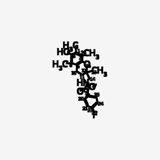 Cc1c(C)c2c(c(C)c1O)CCC(C)(CNS(=O)(=O)c1ccc(F)cc1)O2